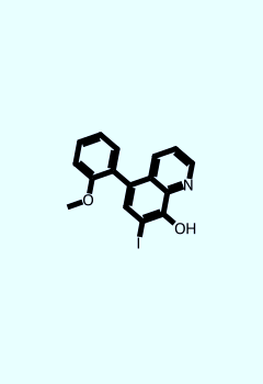 COc1ccccc1-c1cc(I)c(O)c2ncccc12